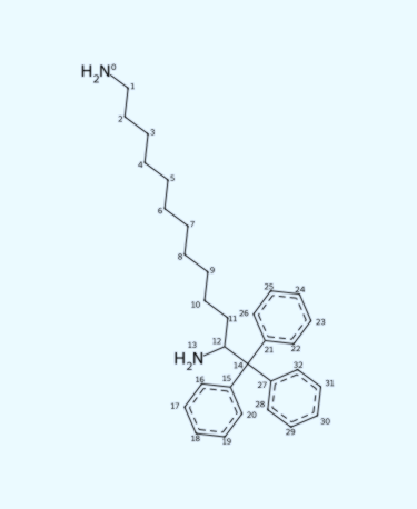 NCCCCCCCCCCCC(N)C(c1ccccc1)(c1ccccc1)c1ccccc1